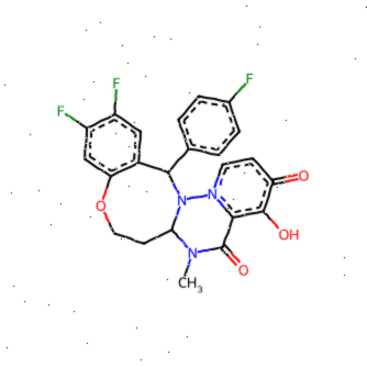 CN1C(=O)c2c(O)c(=O)ccn2N2C(c3ccc(F)cc3)c3cc(F)c(F)cc3OCCC12